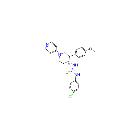 COc1ccc(C2CN(c3ccnnc3)CC[C@H]2NC(=O)Nc2ccc(Cl)cc2)cc1